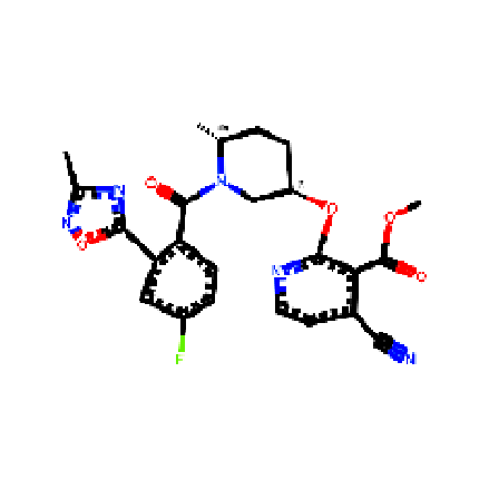 COC(=O)c1c(C#N)ccnc1O[C@@H]1CC[C@@H](C)N(C(=O)c2ccc(F)cc2-c2nc(C)no2)C1